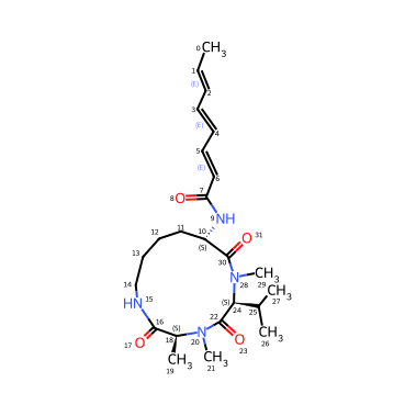 C/C=C/C=C/C=C/C(=O)N[C@H]1CCCCNC(=O)[C@H](C)N(C)C(=O)[C@H](C(C)C)N(C)C1=O